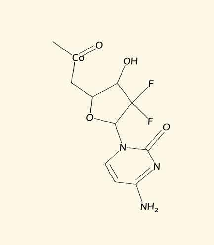 [CH3][Co](=[O])[CH2]C1OC(n2ccc(N)nc2=O)C(F)(F)C1O